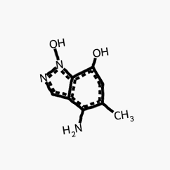 Cc1cc(O)c2c(cnn2O)c1N